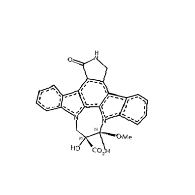 CO[C@]1(C)n2c3ccccc3c3c4c(c5c6ccccc6n(c5c32)C[C@]1(O)C(=O)O)C(=O)NC4